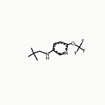 CC(C)(C)CNc1ccc(OC(F)(F)F)nc1